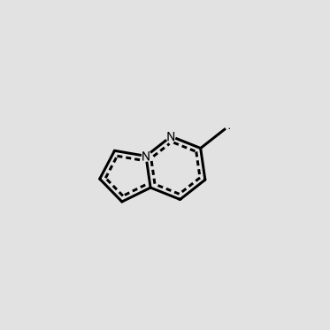 [CH2]c1ccc2cccn2n1